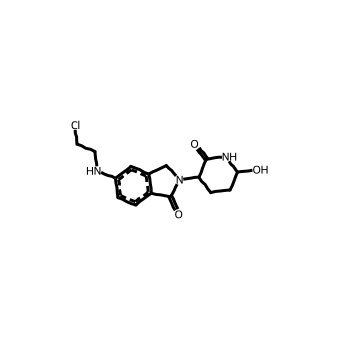 O=C1NC(O)CCC1N1Cc2cc(NCCCl)ccc2C1=O